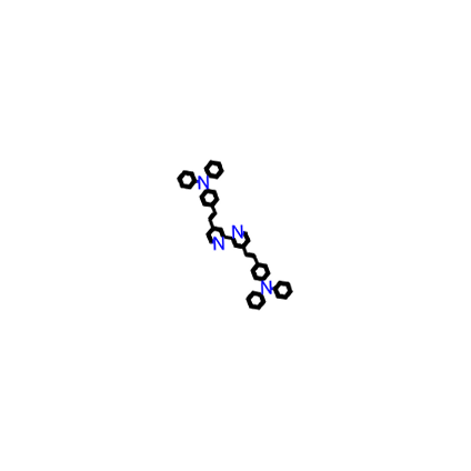 C(=C\c1ccnc(-c2cc(/C=C/c3ccc(N(c4ccccc4)c4ccccc4)cc3)ccn2)c1)/c1ccc(N(c2ccccc2)c2ccccc2)cc1